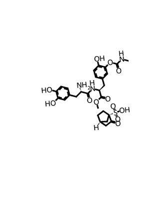 CNC(=O)Oc1cc(C[C@H](NC(=O)[C@@H](N)Cc2ccc(O)c(O)c2)C(=O)OC)ccc1O.O=C1C[C@H]2CC[C@]1(S(=O)(=O)O)C2